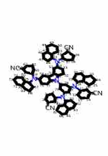 N#Cc1cccc(N(c2cc(N(c3cccc(C#N)c3)c3cccc4ccccc34)cc(-n3c4ccc(N(c5cccc(C#N)c5)c5cccc6ccccc56)cc4c4cc(N(c5cccc(C#N)c5)c5cccc6ccccc56)ccc43)c2)c2cccc3ccccc23)c1